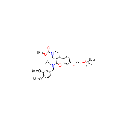 COc1ccc(CN(C(=O)C2=C(c3ccc(OCCO[Si](C)(C)C(C)(C)C)cc3)CCN(C(=O)OC(C)(C)C)C2)C2CC2)cc1OC